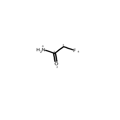 NC(=O)CF